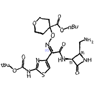 CCCCOC(=O)C1(O/N=C(\C(=O)N[C@@H]2C(=O)N[C@@H]2CN)c2csc(NC(=O)OC(C)(C)C)n2)CCOCC1